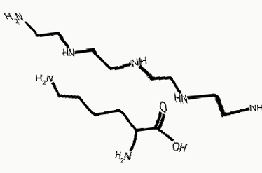 NCCCCC(N)C(=O)O.NCCNCCNCCNCCN